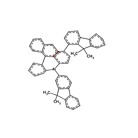 CC1(C)c2ccccc2-c2ccc(N(c3ccc(-c4cccc5c4C(C)(C)c4ccccc4-5)cc3)c3ccccc3-c3cccc4ccccc34)cc21